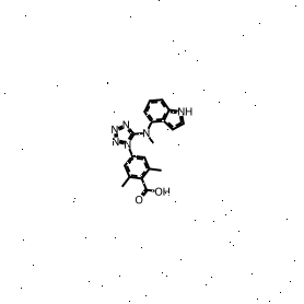 Cc1cc(-n2nnnc2N(C)c2cccc3[nH]ccc23)cc(C)c1C(=O)O